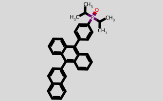 CC(C)P(=O)(c1ccc(-c2c3ccccc3c(-c3ccc4ccccc4c3)c3ccccc23)cc1)C(C)C